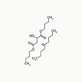 CCCCOC(=O)CC(O)C(=O)OCCCC.CCC[CH2][Sn][CH2]CCC